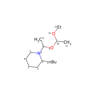 CCCCC1CCCCN1C(C)OC(C)OCC